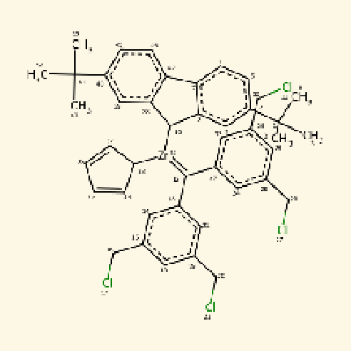 CC(C)(C)c1ccc2c(c1)[CH]([Zr](=[C](c1cc(CCl)cc(CCl)c1)c1cc(CCl)cc(CCl)c1)[CH]1C=CC=C1)c1cc(C(C)(C)C)ccc1-2